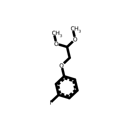 COC(COc1cccc(I)c1)OC